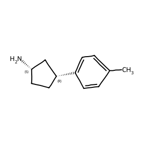 Cc1ccc([C@@H]2CC[C@H](N)C2)cc1